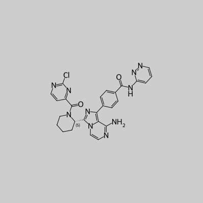 Nc1nccn2c([C@@H]3CCCCN3C(=O)c3ccnc(Cl)n3)nc(-c3ccc(C(=O)Nc4cccnn4)cc3)c12